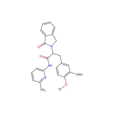 CCOc1ccc(CC(C(=O)Nc2cccc(C)n2)N2Cc3ccccc3C2=O)cc1OC